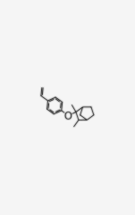 C=Cc1ccc(OC2(C)C3CCC(C3)C2C)cc1